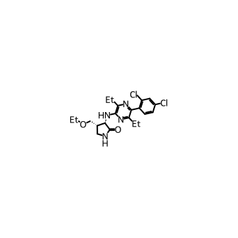 CCOC[C@H]1CNC(=O)[C@H]1Nc1nc(CC)c(-c2ccc(Cl)cc2Cl)nc1CC